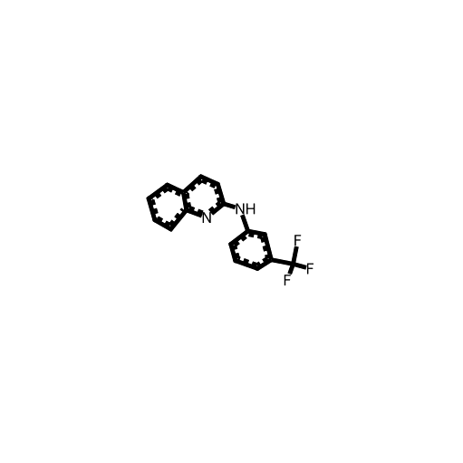 FC(F)(F)c1cccc(Nc2ccc3ccccc3n2)c1